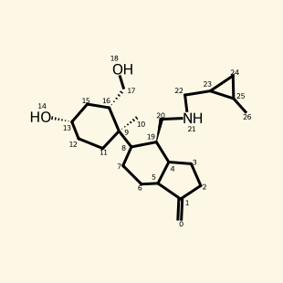 C=C1CCC2C1CCC([C@@]1(C)CC[C@H](O)C[C@@H]1CO)[C@H]2CNCC1CC1C